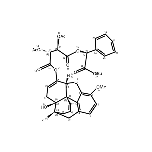 COc1ccc2c3c1O[C@H]1C(OC(=O)[C@H](OC(C)=O)[C@@H](OC(C)=O)C(=O)O[C@H](C(=O)OCC(C)C)c4ccccc4)=CC[C@@]4(O)[C@H](CC=C[C@]314)C2